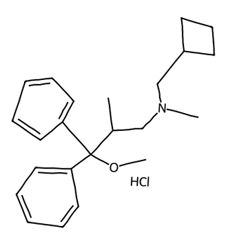 COC(c1ccccc1)(c1ccccc1)C(C)CN(C)CC1CCC1.Cl